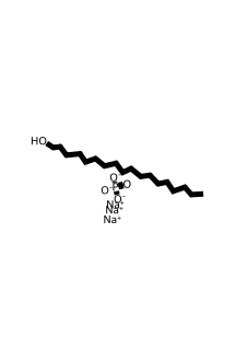 CCCCCCCCCCCCCCCCCCO.O=P([O-])([O-])[O-].[Na+].[Na+].[Na+]